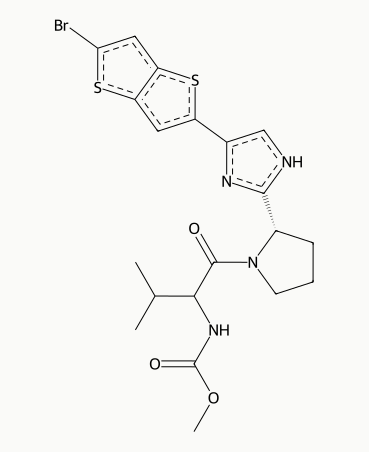 COC(=O)NC(C(=O)N1CCC[C@H]1c1nc(-c2cc3sc(Br)cc3s2)c[nH]1)C(C)C